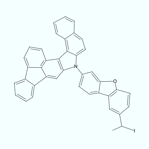 CC(I)c1ccc2oc3cc(-n4c5ccc6ccccc6c5c5c6cccc7c6c(cc54)-c4ccccc4-7)ccc3c2c1